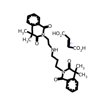 CC1(C)C(=O)N(CCCNCCN2C(=O)c3ccccc3C(C)(C)C2=O)C(=O)c2ccccc21.O=C(O)/C=C/C(=O)O